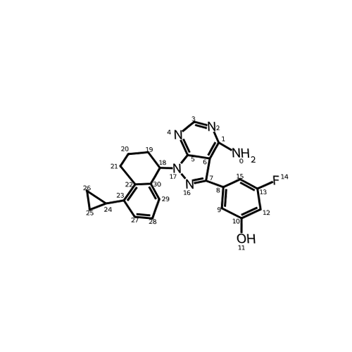 Nc1ncnc2c1c(-c1cc(O)cc(F)c1)nn2C1CCCc2c(C3CC3)cccc21